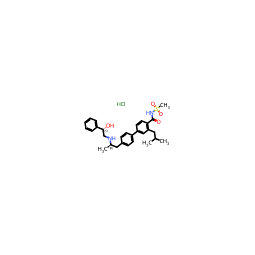 CC(C)Cc1cc(-c2ccc(C[C@@H](C)NC[C@@H](O)c3ccccc3)cc2)ccc1C(=O)NS(C)(=O)=O.Cl